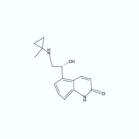 CC1(NC[C@H](O)c2cccc3[nH]c(=O)ccc23)CC1